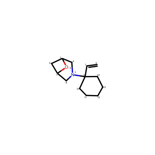 C=CC1(N2CC3CC(C2)O3)CCCCC1